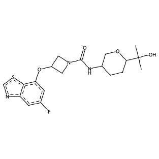 CC(C)(O)C1CCC(NC(=O)N2CC(Oc3cc(F)cc4ncsc34)C2)CO1